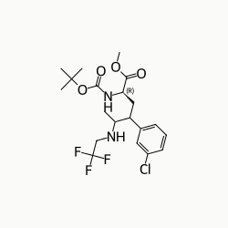 COC(=O)[C@@H](CC(c1cccc(Cl)c1)C(C)NCC(F)(F)F)NC(=O)OC(C)(C)C